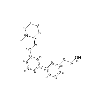 CN1CCCC[C@H]1COc1cncc(-c2cccc(CCO)c2)c1